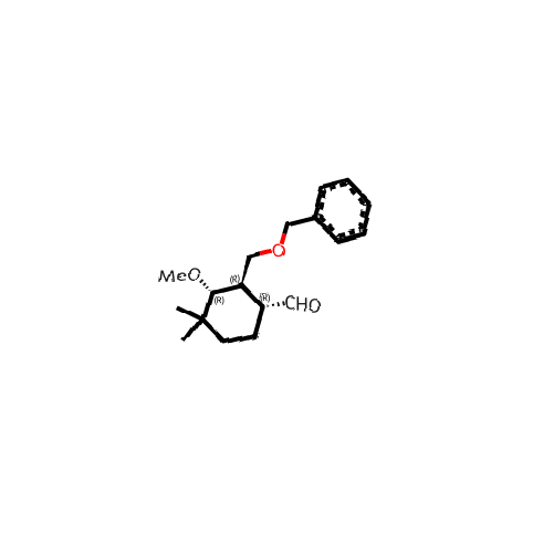 CO[C@@H]1[C@@H](COCc2ccccc2)[C@H](C=O)CCC1(C)C